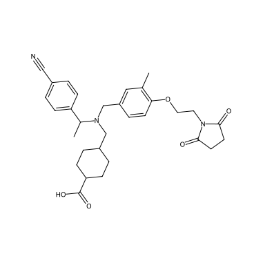 Cc1cc(CN(CC2CCC(C(=O)O)CC2)C(C)c2ccc(C#N)cc2)ccc1OCCN1C(=O)CCC1=O